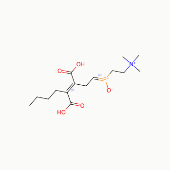 CCCC/C(C(=O)O)=C(/C/C=[P+](\[O-])CC[N+](C)(C)C)C(=O)O